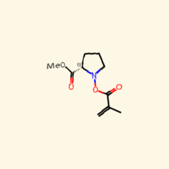 C=C(C)C(=O)ON1CCC[C@H]1C(=O)OC